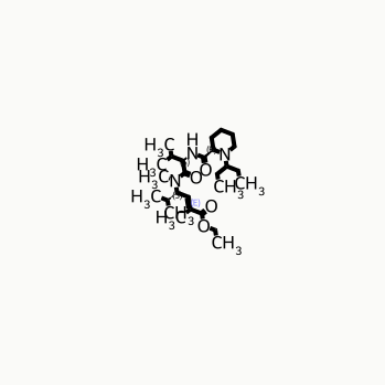 CCOC(=O)/C(C)=C/[C@H](C(C)C)N(C)C(=O)[C@@H](NC(=O)[C@H]1CCCCN1C(CC)CC)C(C)C